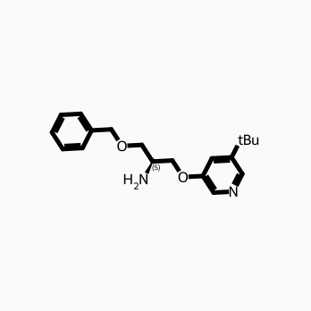 CC(C)(C)c1cncc(OC[C@@H](N)COCc2ccccc2)c1